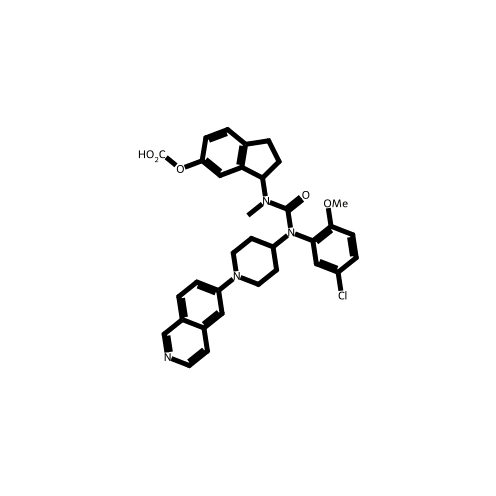 COc1ccc(Cl)cc1N(C(=O)N(C)C1CCc2ccc(OC(=O)O)cc21)C1CCN(c2ccc3cnccc3c2)CC1